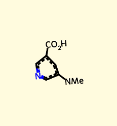 CNc1cncc(C(=O)O)c1